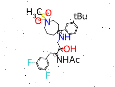 CC(=O)N[C@@H](Cc1cc(F)cc(F)c1)[C@H](O)CN[C@@]1(c2cccc(C(C)(C)C)c2)CCCN(S(C)(=O)=O)CC1